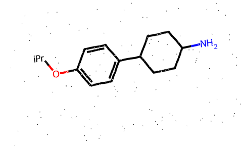 CC(C)Oc1ccc(C2CCC(N)CC2)cc1